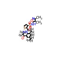 [2H]c1c(C([2H])([2H])[2H])cc(C(=O)C([2H])([2H])[2H])c(NC(=O)c2sccc2S(=O)(=O)Nc2onc(C)c2C)c1C([2H])([2H])[2H]